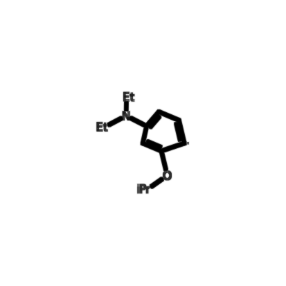 CCN(CC)c1cc[c]c(OC(C)C)c1